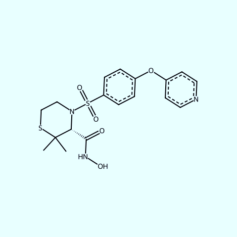 CC1(C)SCCN(S(=O)(=O)c2ccc(Oc3ccncc3)cc2)[C@@H]1C(=O)NO